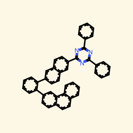 c1ccc(-c2nc(-c3ccccc3)nc(-c3ccc4cc(-c5ccccc5-c5ccc6ccc7ccccc7c6c5)ccc4c3)n2)cc1